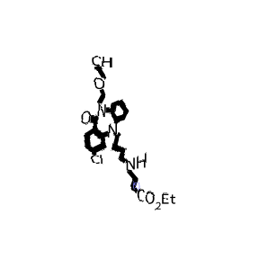 C#CCOCCN1C(=O)c2ccc(Cl)cc2N(CCCCNC/C=C/C(=O)OCC)c2ccccc21